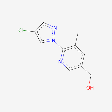 Cc1cc(CO)cnc1-n1cc(Cl)cn1